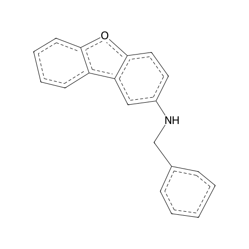 c1ccc(CNc2ccc3oc4ccccc4c3c2)cc1